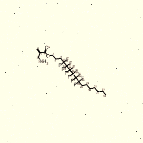 C=C(CN)C(=O)OCCCC(F)(F)C(F)(F)C(F)(F)C(F)(F)C(F)(F)C(F)(F)CCCCCCC